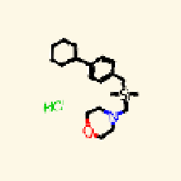 C[Si](C)(Cc1ccc(C2CCCCC2)cc1)CN1CCOCC1.Cl